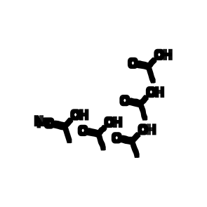 CC(=O)O.CC(=O)O.CC(=O)O.CC(=O)O.CC(=O)O.[Na]